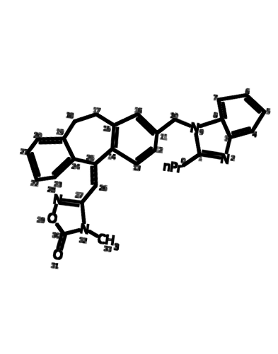 CCCc1nc2ccccc2n1Cc1ccc2c(c1)CCc1ccccc1C2=Cc1noc(=O)n1C